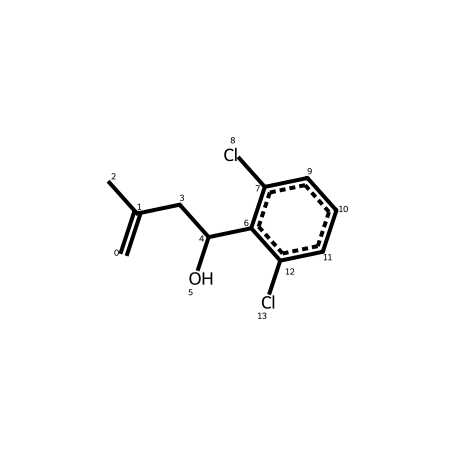 C=C(C)CC(O)c1c(Cl)cccc1Cl